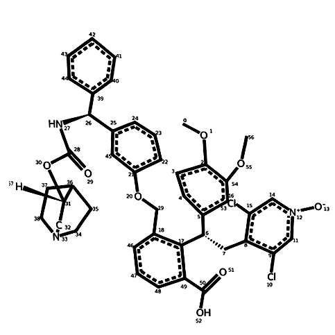 COc1ccc([C@H](Cc2c(Cl)c[n+]([O-])cc2Cl)c2c(COc3cccc([C@@H](NC(=O)O[C@H]4CN5CCC4CC5)c4ccccc4)c3)cccc2C(=O)O)cc1OC